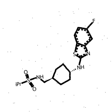 CC(C)S(=O)(=O)NC[C@H]1CC[C@H](Nc2nc3cc(F)ccc3s2)CC1